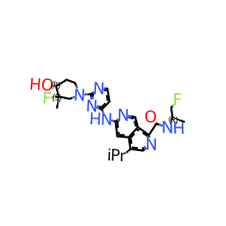 CC(C)c1cnc(C(=O)N[C@H](C)CF)c2cnc(Nc3ccnc(N4CC[C@@H](O)[C@@](C)(F)C4)n3)cc12